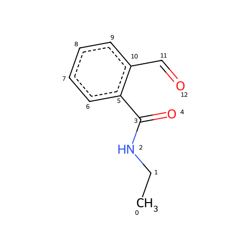 CCNC(=O)c1ccccc1C=O